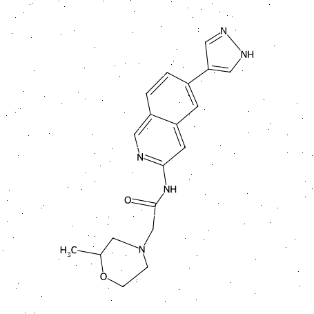 CC1CN(CC(=O)Nc2cc3cc(-c4cn[nH]c4)ccc3cn2)CCO1